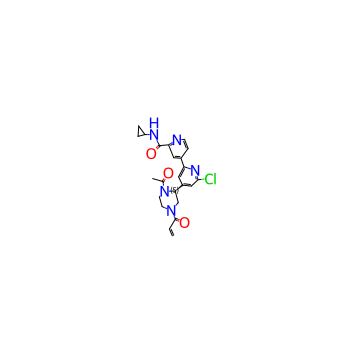 C=CC(=O)N1CCN(C(C)=O)[C@@H](c2cc(Cl)nc(-c3ccnc(C(=O)NC4CC4)c3)c2)C1